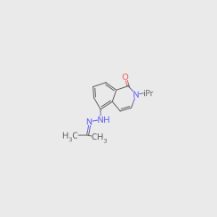 CC(C)=NNc1cccc2c(=O)n(C(C)C)ccc12